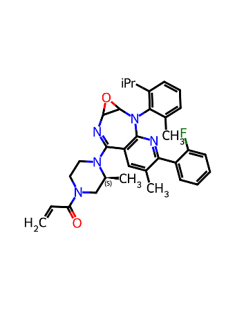 C=CC(=O)N1CCN(C2=NC3OC3N(c3c(C)cccc3C(C)C)c3nc(-c4ccccc4F)c(C)cc32)[C@@H](C)C1